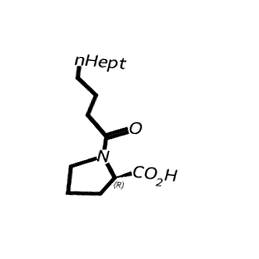 CCCCCCCCCCC(=O)N1CCC[C@@H]1C(=O)O